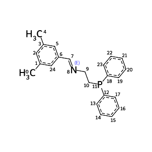 Cc1cc(C)cc(/C=N/CCP(c2ccccc2)c2ccccc2)c1